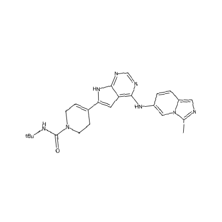 Cc1ncc2ccc(Nc3ncnc4[nH]c(C5=CCN(C(=O)NC(C)(C)C)CC5)cc34)cn12